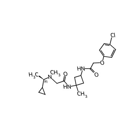 C[C@H](C1CC1)N(C)CC(=O)NC1(C)CC(NC(=O)COc2ccc(Cl)cc2)C1